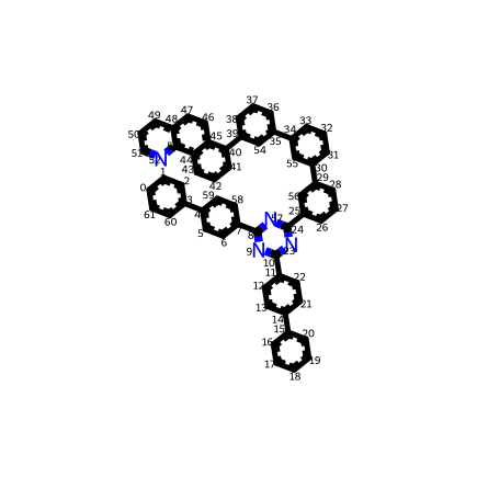 c1ccc(-c2ccc(-c3nc(-c4ccc(-c5ccccc5)cc4)nc(-c4cccc(-c5cccc(-c6cccc(-c7cccc8c7ccc7cccnc78)c6)c5)c4)n3)cc2)cc1